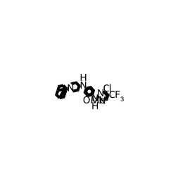 COc1cc(NC2CCN(C3C4CC5CC(C4)CC3C5)CC2)ccc1Nc1ncc(C(F)(F)F)c(Cl)n1